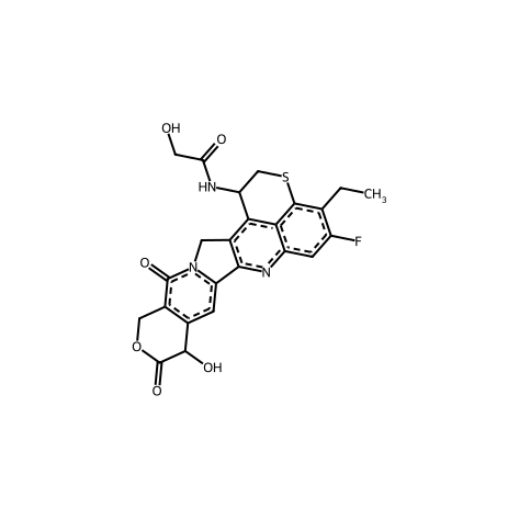 CCc1c(F)cc2nc3c(c4c2c1SCC4NC(=O)CO)Cn1c-3cc2c(c1=O)COC(=O)C2O